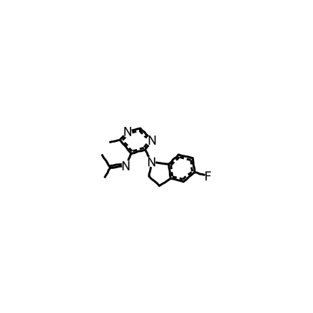 CC(C)=Nc1c(C)ncnc1N1CCc2cc(F)ccc21